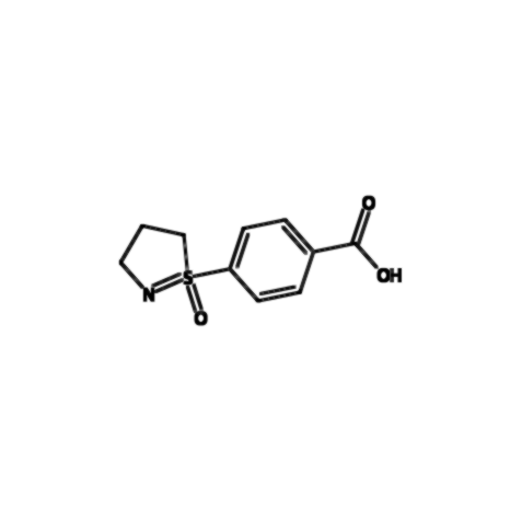 O=C(O)c1ccc(S2(=O)=NCCC2)cc1